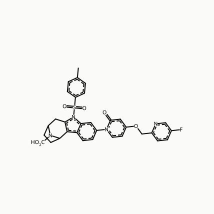 Cc1ccc(S(=O)(=O)n2c3c(c4ccc(-n5ccc(OCc6ccc(F)cn6)cc5=O)cc42)C2CCC(C3)N2C(=O)O)cc1